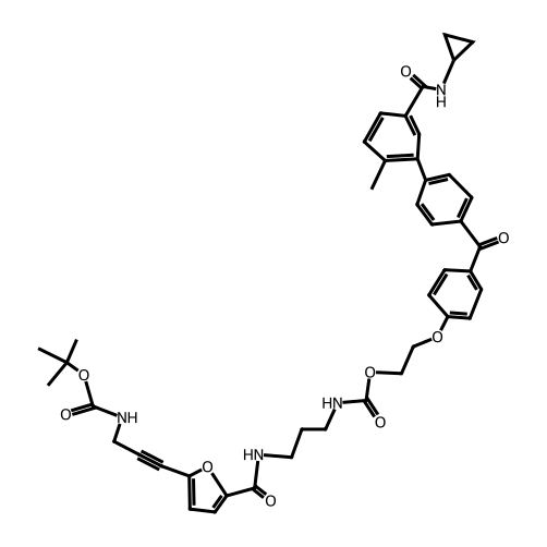 Cc1ccc(C(=O)NC2CC2)cc1-c1ccc(C(=O)c2ccc(OCCOC(=O)NCCCNC(=O)c3ccc(C#CCNC(=O)OC(C)(C)C)o3)cc2)cc1